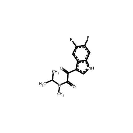 CC(C)N(C)C(=O)C(=O)c1c[nH]c2cc(F)c(F)cc12